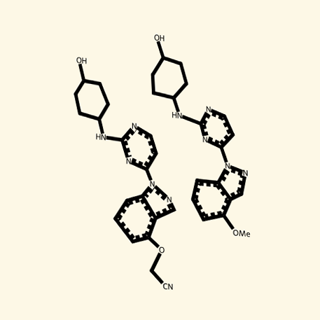 COc1cccc2c1cnn2-c1ccnc(NC2CCC(O)CC2)n1.N#CCOc1cccc2c1cnn2-c1ccnc(NC2CCC(O)CC2)n1